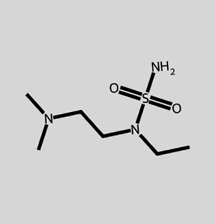 CCN(CCN(C)C)S(N)(=O)=O